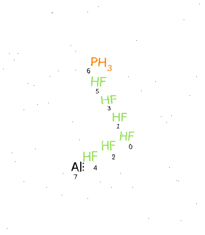 F.F.F.F.F.F.P.[Al]